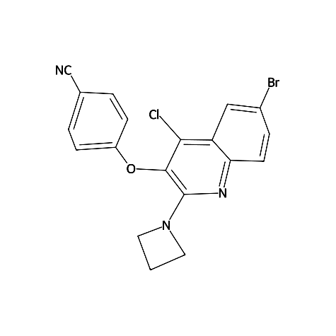 N#Cc1ccc(Oc2c(N3CCC3)nc3ccc(Br)cc3c2Cl)cc1